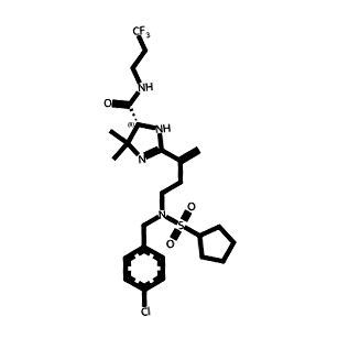 C=C(CCN(Cc1ccc(Cl)cc1)S(=O)(=O)C1CCCC1)C1=NC(C)(C)[C@H](C(=O)NCCC(F)(F)F)N1